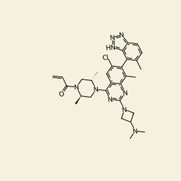 C=CC(=O)N1C[C@H](C)N(c2nc(N3CC(N(C)C)C3)nc3c(C)c(-c4c(C)ccc5nn[nH]c45)c(Cl)cc23)C[C@H]1C